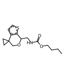 CCCCOC(=O)NCC1OCC2(CC2)c2ccsc21